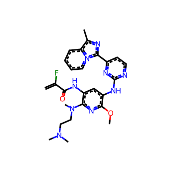 C=C(F)C(=O)Nc1cc(Nc2nccc(-c3nc(C)c4ccccn34)n2)c(OC)nc1N(C)CCN(C)C